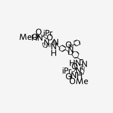 COC(=O)NC(C(=O)N1CCC[C@H]1c1cnc(-c2ccc3c(c2)O[C@@H](c2ccccc2)n2c-3cc3cc(-c4cnc([C@@H]5CCCN5C(=O)C(NC(=O)OC)C(C)C)[nH]4)ccc32)[nH]1)C(C)C